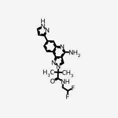 CC(C)(C(=O)NCC(F)F)n1cc2c(N)nc3cc(-c4cc[nH]n4)ccc3c2n1